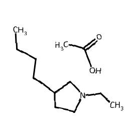 CC(=O)O.CCCCC1CCN(CC)C1